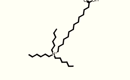 CCCCCC[N+](CCCCCC)(CCCCCC)CCCCCCCCCCCCCC(=O)O